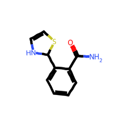 NC(=O)c1ccccc1C1NC=CS1